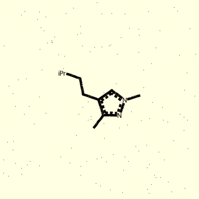 Cc1nn(C)cc1CCC(C)C